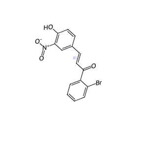 O=C(/C=C/c1ccc(O)c([N+](=O)[O-])c1)c1ccccc1Br